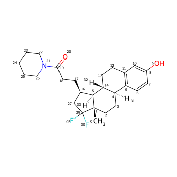 C[C@]12CC[C@@H]3c4ccc(O)cc4CC[C@H]3[C@@H]1[C@H](CCC(=O)N1CCCCC1)CC2(F)F